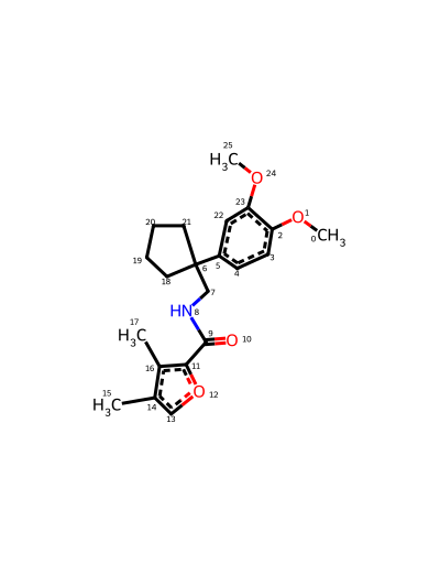 COc1ccc(C2(CNC(=O)c3occ(C)c3C)CCCC2)cc1OC